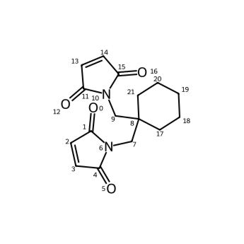 O=C1C=CC(=O)N1CC1(CN2C(=O)C=CC2=O)CCCCC1